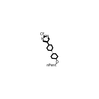 CCCCCO[C@H]1CC[C@H](C2CCC(c3cnc(C(F)(F)F)nc3)CC2)CC1